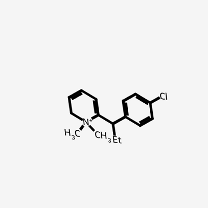 CCC(C1=CC=CC[N+]1(C)C)c1ccc(Cl)cc1